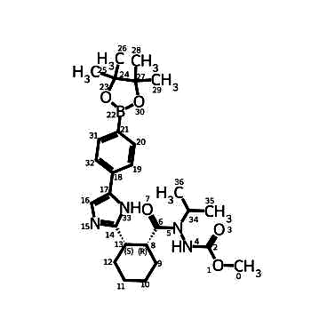 COC(=O)NN(C(=O)[C@@H]1CCCC[C@@H]1c1ncc(-c2ccc(B3OC(C)(C)C(C)(C)O3)cc2)[nH]1)C(C)C